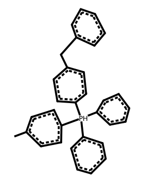 Cc1ccc([PH](c2ccccc2)(c2ccccc2)c2ccc(Cc3ccccc3)cc2)cc1